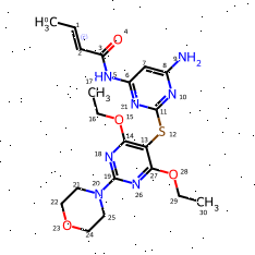 C/C=C/C(=O)Nc1cc(N)nc(Sc2c(OCC)nc(N3CCOCC3)nc2OCC)n1